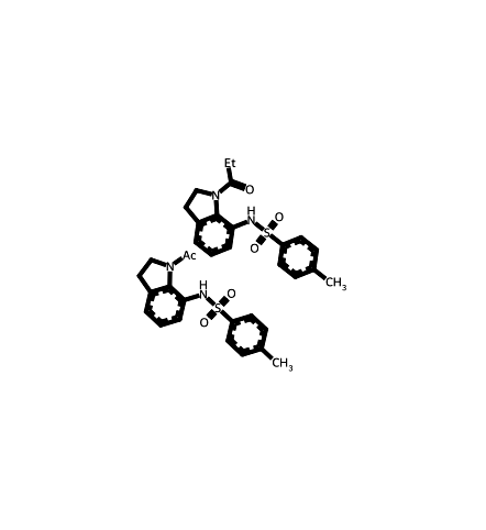 CC(=O)N1CCc2cccc(NS(=O)(=O)c3ccc(C)cc3)c21.CCC(=O)N1CCc2cccc(NS(=O)(=O)c3ccc(C)cc3)c21